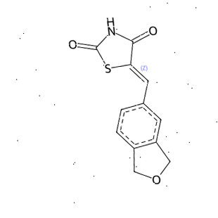 O=C1NC(=O)/C(=C/c2ccc3c(c2)COC3)S1